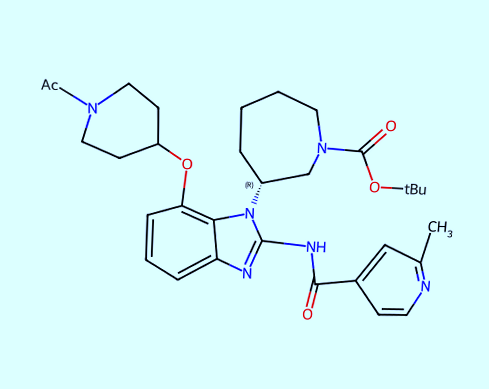 CC(=O)N1CCC(Oc2cccc3nc(NC(=O)c4ccnc(C)c4)n([C@@H]4CCCCN(C(=O)OC(C)(C)C)C4)c23)CC1